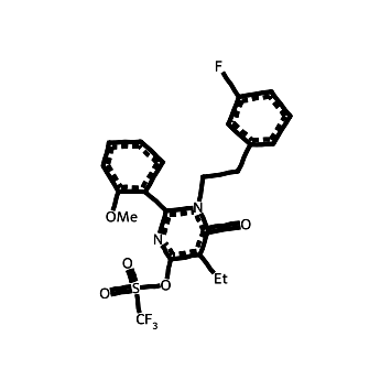 CCc1c(OS(=O)(=O)C(F)(F)F)nc(-c2ccccc2OC)n(CCc2cccc(F)c2)c1=O